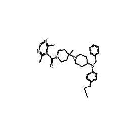 CCCc1ccc(N(Cc2ccccc2)C2CCN(C3(C)CCN(C(=O)c4c(C)ncnc4C)CC3)CC2)cc1